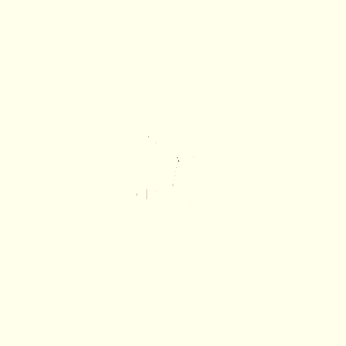 CC(=O)C(=O)C(F)Cl